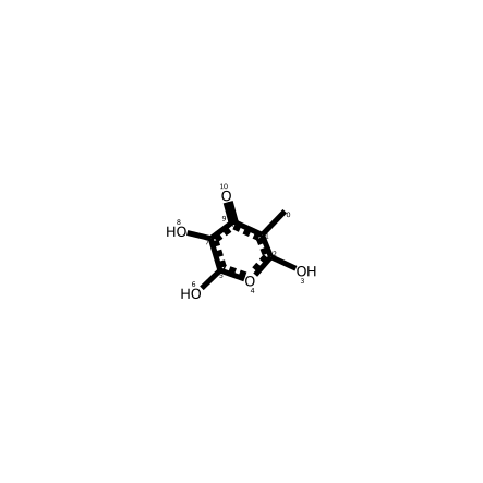 Cc1c(O)oc(O)c(O)c1=O